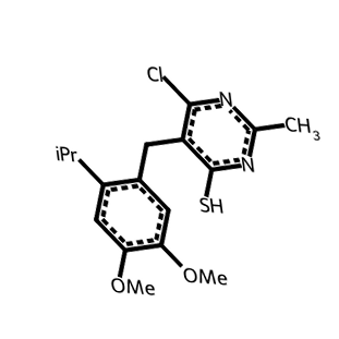 COc1cc(Cc2c(S)nc(C)nc2Cl)c(C(C)C)cc1OC